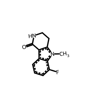 Cn1c2c(c3cccc(F)c31)C(=O)NCC2